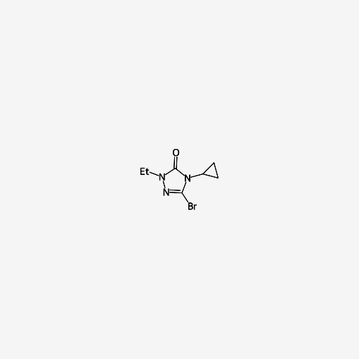 CCn1nc(Br)n(C2CC2)c1=O